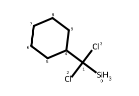 [SiH3]C(Cl)(Cl)C1CCCCC1